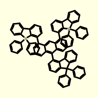 c1ccc(C2(c3ccccc3)c3ccccc3-c3c(-c4c5cccc(-c6cccc7c6[Si](c6ccccc6)(c6ccccc6)c6ccccc6-7)c5cc5c(-c6cccc7c6[Si](c6ccccc6)(c6ccccc6)c6ccccc6-7)cccc45)cccc32)cc1